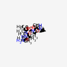 CC[C@H](C)[C@@H]([C@@H](CC(=O)N1CCC[C@H]1[C@H](OC)[C@@H](C)C(=O)NC12CC=C1C2)OC)N(C)C(=O)[C@@H](NC(=O)C(C)(C)N)C(C)C